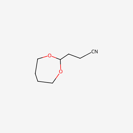 N#CCCC1OCCCCO1